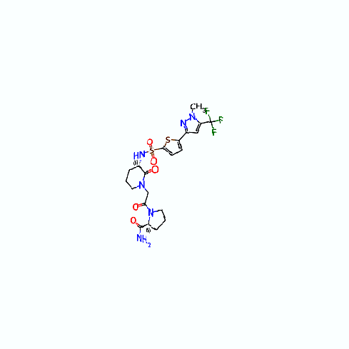 Cn1nc(-c2ccc(S(=O)(=O)N[C@H]3CCCN(CC(=O)N4CCC[C@H]4C(N)=O)C3=O)s2)cc1C(F)(F)F